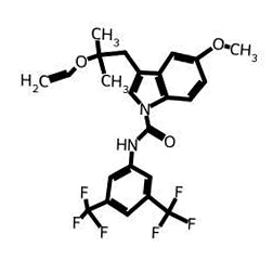 C=COC(C)(C)Cc1cn(C(=O)Nc2cc(C(F)(F)F)cc(C(F)(F)F)c2)c2ccc(OC)cc12